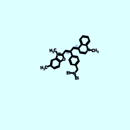 CCN(CC)Cc1ccc(C(=C\c2oc3ccc(C)cc3[n+]2C)/C=C2\C=CN(C)c3ccccc32)cc1